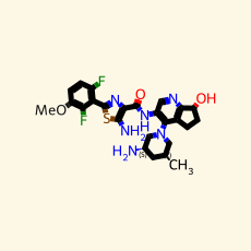 COc1ccc(F)c(-c2nc(C(=O)Nc3cnc4c(c3N3C[C@H](C)C[C@H](N)C3)CCC4O)c(N)s2)c1F